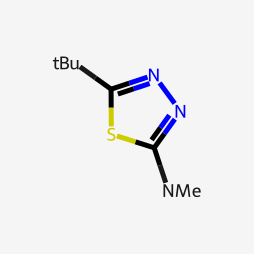 [CH2]Nc1nnc(C(C)(C)C)s1